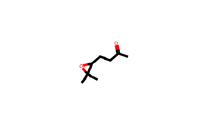 CC(=O)CCC1OC1(C)C